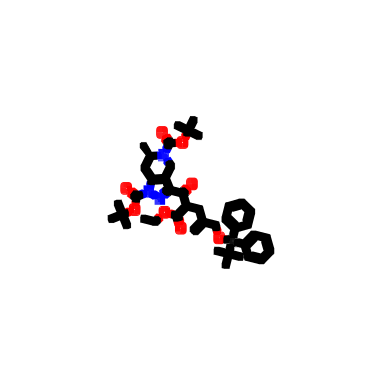 C=C(CO[Si](c1ccccc1)(c1ccccc1)C(C)(C)C)CC(C(=O)OCC)C(=O)c1nn(C(=O)OC(C)(C)C)c2c1CN(C(=O)OC(C)(C)C)[C@H](C)C2